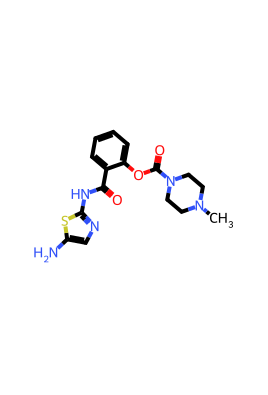 CN1CCN(C(=O)Oc2ccccc2C(=O)Nc2ncc(N)s2)CC1